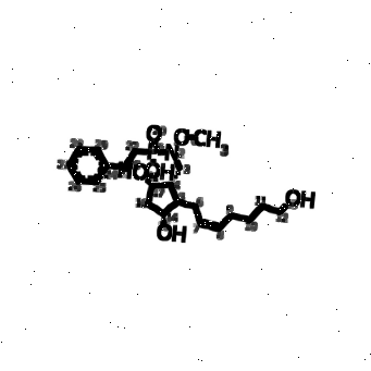 CON(C[C@@H]1C(C/C=C\CCCCO)[C@@H](O)C[C@H]1O)P(=O)(O)CCc1ccccc1